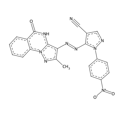 Cc1nn2c([nH]c(=O)c3ccccc32)c1/N=N/c1c(C#N)cnn1-c1ccc([N+](=O)[O-])cc1